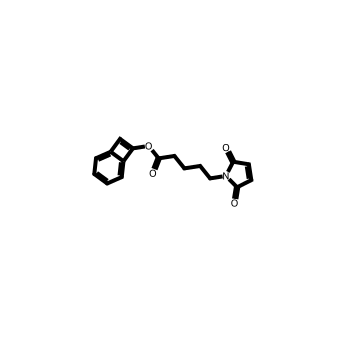 O=C(CCCCN1C(=O)C=CC1=O)OC1=Cc2ccccc21